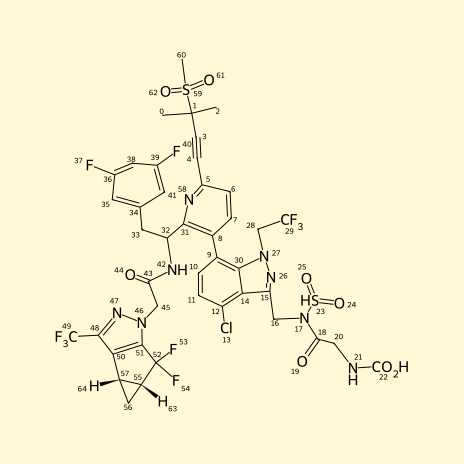 CC(C)(C#Cc1ccc(-c2ccc(Cl)c3c(CN(C(=O)CNC(=O)O)[SH](=O)=O)nn(CC(F)(F)F)c23)c(C(Cc2cc(F)cc(F)c2)NC(=O)Cn2nc(C(F)(F)F)c3c2C(F)(F)[C@@H]2C[C@H]32)n1)S(C)(=O)=O